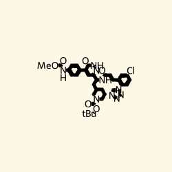 COC(=O)Nc1ccc(-c2cc(C(CC3CCCN(C(=O)OC(C)(C)C)C3)NC(=O)/C=C/c3cc(Cl)ccc3-n3cnnn3)n[nH]c2=O)cc1